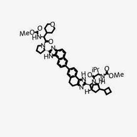 COC(=O)N[C@H](C(=O)N1[C@H](c2nc3c([nH]2)-c2ccc(-c4ccc5c(ccc6nc([C@@H]7CCCN7C(=O)[C@@H](NC(=O)OC)C7CCOCC7)[nH]c65)c4)cc2CC3)[C@H]2CC(C3CCC3)[C@@H]1C2)C(C)C